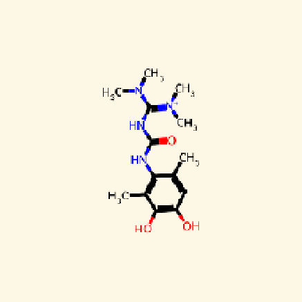 Cc1cc(O)c(O)c(C)c1NC(=O)NC(N(C)C)=[N+](C)C